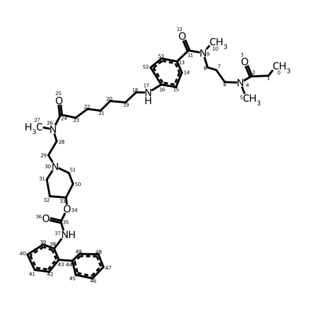 CCC(=O)N(C)CCCN(C)C(=O)c1ccc(NCCCCCCC(=O)N(C)CCN2CCC(OC(=O)Nc3ccccc3-c3ccccc3)CC2)cc1